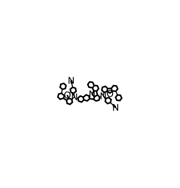 N#Cc1ccc(N(c2ccc3cc4c5ccc(N(c6ccc(C#N)cc6)c6cccc7c6oc6c(-c8ccccc8)cccc67)c6c7ccc8ccccc8c7n(c4cc3c2)c56)c2cccc3c2oc2c(-c4ccccc4)cccc23)cc1